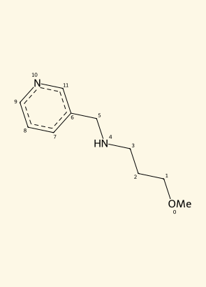 COCCCNCc1cccnc1